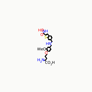 COc1cc(CNCc2ccc3cc(C(=O)NO)sc3c2)ccc1OCCC[C@H](N)C(=O)O